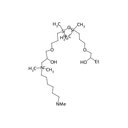 CCC(O)COCCC[Si](C)(C)O[Si](C)(C)CCCOCC(O)C[N+](C)(C)CCCCCCNC